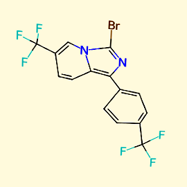 FC(F)(F)c1ccc(-c2nc(Br)n3cc(C(F)(F)F)ccc23)cc1